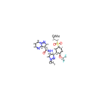 COCCS(=O)(=O)c1ccc(OC(F)F)c(-c2nn(C)cc2NC(=O)c2cnn3cccnc23)c1